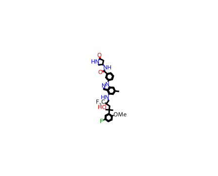 COc1ccc(F)cc1C(C)(C)CC(O)(CNc1cc(C)cc2c1cnn2-c1cccc(C(=O)NC2CNC(=O)C2)c1)C(F)(F)F